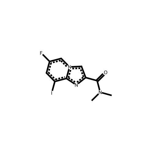 CN(C)C(=O)c1cn2cc(F)cc(I)c2n1